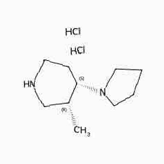 C[C@@H]1CNCC[C@@H]1N1CCCC1.Cl.Cl